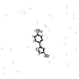 CC(C)(C)c1ccc(-c2cc(Br)co2)cc1